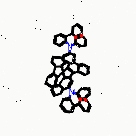 c1ccc(-c2ccccc2N(c2ccccc2)c2ccc3c4c(c5ccccc5c3c2)-c2cc(N(c3ccccc3)c3ccccc3-c3ccccc3)c3ccccc3c2C42c3ccccc3-c3ccccc32)cc1